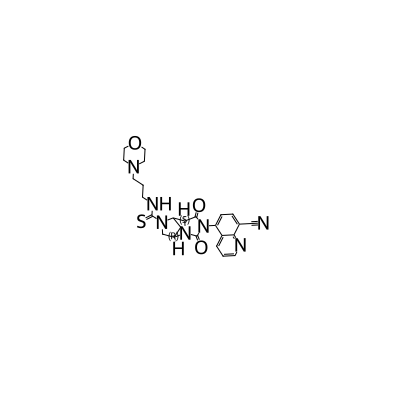 N#Cc1ccc(N2C(=O)[C@@H]3C4C[C@H](CN4C(=S)NCCCN4CCOCC4)N3C2=O)c2cccnc12